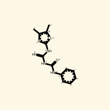 Cc1nc(NC(=N)NC(=O)Nc2ccccc2)sc1C